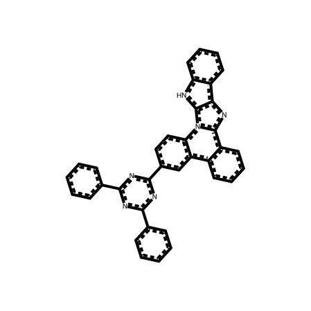 c1ccc(-c2nc(-c3ccccc3)nc(-c3ccc4c(c3)c3ccccc3c3nc5c6ccccc6[nH]c5n43)n2)cc1